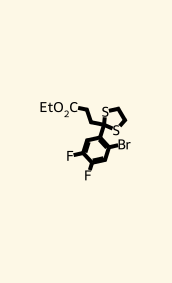 CCOC(=O)CCC1(c2cc(F)c(F)cc2Br)SCCS1